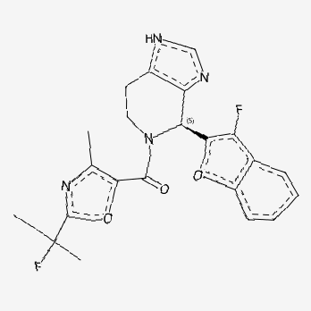 Cc1nc(C(C)(C)F)oc1C(=O)N1CCc2[nH]cnc2[C@H]1c1oc2ccccc2c1F